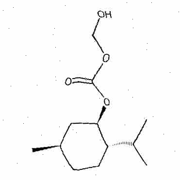 CC(C)[C@@H]1CC[C@@H](C)C[C@H]1OC(=O)OCO